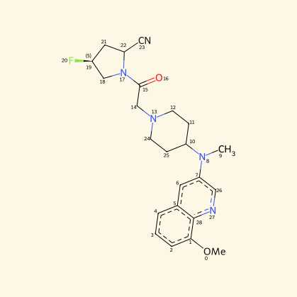 COc1cccc2cc(N(C)C3CCN(CC(=O)N4C[C@@H](F)CC4C#N)CC3)cnc12